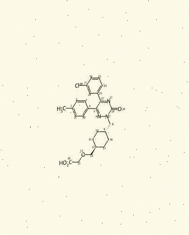 Cc1ccc(-c2nn(C[C@H]3CC[C@H](COCC(=O)O)CC3)c(=O)nc2-c2cccc(Cl)c2)cc1